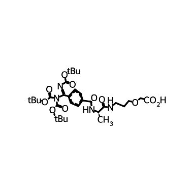 C[C@H](NC(=O)c1ccc(C(=NC(=O)OC(C)(C)C)N(C(=O)OC(C)(C)C)C(=O)OC(C)(C)C)cc1)C(=O)NCCCOCC(=O)O